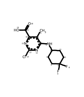 Cc1c(NC2CCC(F)(F)CC2)nc(Cl)nc1C(=O)O